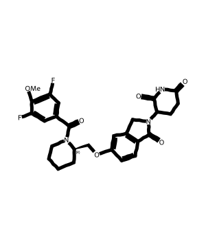 COc1c(F)cc(C(=O)N2CCCC[C@@H]2COc2ccc3c(c2)CN(C2CCC(=O)NC2=O)C3=O)cc1F